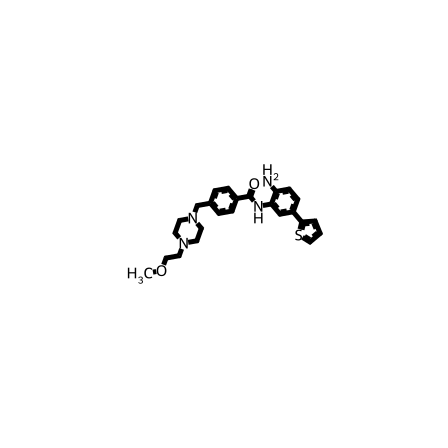 COCCN1CCN(Cc2ccc(C(=O)Nc3cc(-c4cccs4)ccc3N)cc2)CC1